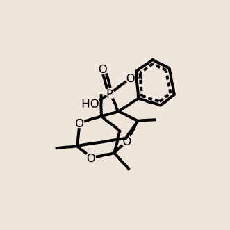 CC12CC3(C)OC(C)(CC(C)(O1)C3(c1ccccc1)P(=O)(O)O)O2